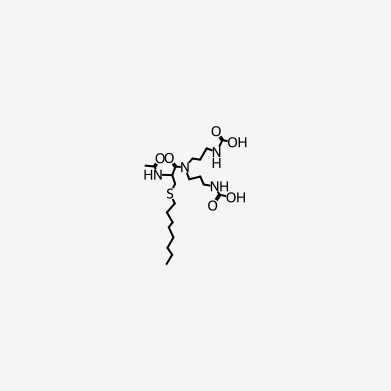 CCCCCCCCSCC(NC(C)=O)C(=O)N(CCCNC(=O)O)CCCNC(=O)O